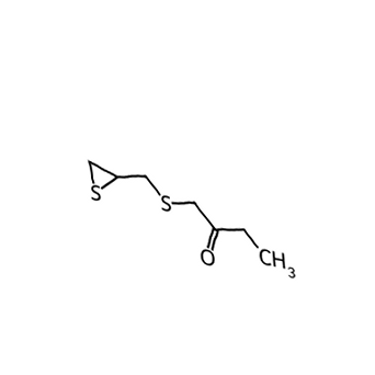 CCC(=O)CSCC1CS1